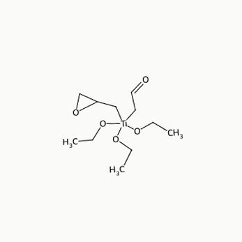 CC[O][Ti]([CH2]C=O)([CH2]C1CO1)([O]CC)[O]CC